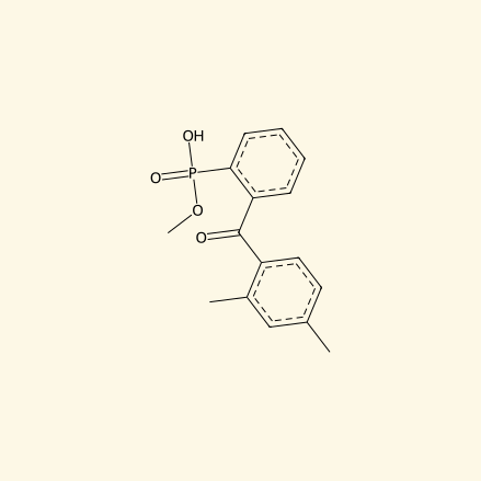 COP(=O)(O)c1ccccc1C(=O)c1ccc(C)cc1C